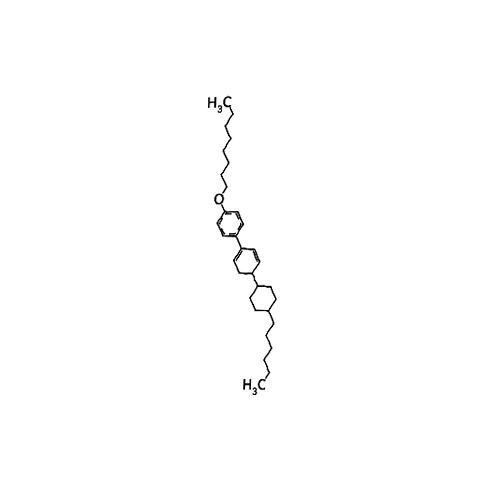 CCCCCCCCOc1ccc(C2=CCC(C3CCC(CCCCCC)CC3)C=C2)cc1